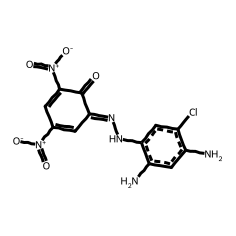 Nc1cc(N)c(N/N=C2\C=C([N+](=O)[O-])C=C([N+](=O)[O-])C2=O)cc1Cl